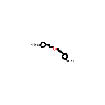 CCCCCCC1CCC(C=CCOCC=CC2CCC(CCCCCC)CC2)CC1